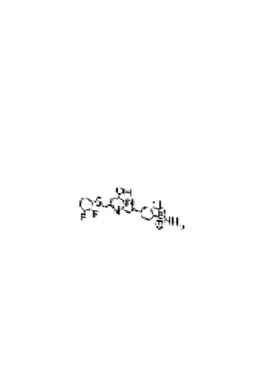 NS(=O)(=O)c1ccc(-c2cc3nc(CSc4cccc(F)c4F)cc(O)n3n2)cc1Cl